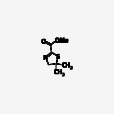 COC(=O)C1=NCC(C)(C)S1